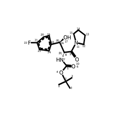 CC(C)(C)OC(=O)N[C@@H](C(=O)N1CCCC1)[C@H](O)c1ccc(F)cc1